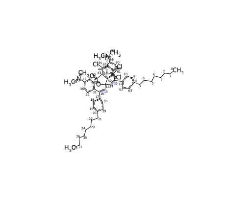 CCCCCCCCc1ccc(/C(=C/C2(/C=C(/c3ccc(CCCCCCCC)cc3)c3ccc(N(C)C)cc3)OC(=O)c3c(Cl)c(Cl)c(Cl)c(Cl)c32)c2ccc(N(C)C)cc2)cc1